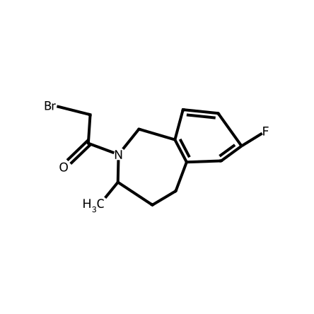 CC1CCc2cc(F)ccc2CN1C(=O)CBr